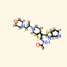 CC(=O)Nc1sc2c(c1-c1nc3cnccc3s1)CCN(C(C)CN1CCOCC1)C2